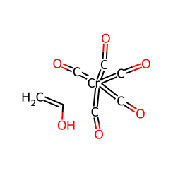 C=CO.O=[C]=[Cr](=[C]=O)(=[C]=O)(=[C]=O)=[C]=O